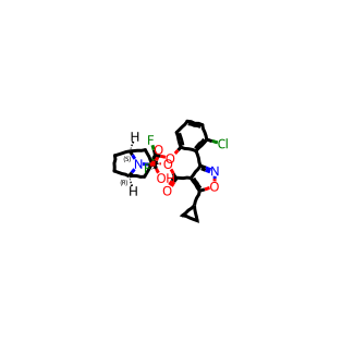 O=C(O[C@@H]1C[C@H]2CC[C@@H](C1)N2C(=O)O)c1c(-c2c(Cl)cccc2OC(F)F)noc1C1CC1